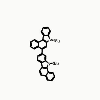 CC(C)(C)n1c2ccccc2c2c3ccccc3c(-c3ccc4c5ccc6ccccc6c5n(C(C)(C)C)c4c3)cc21